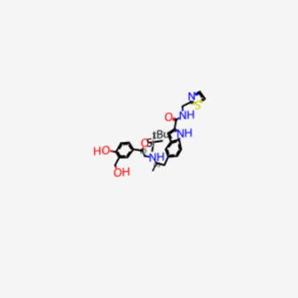 C[C@H](Cc1ccc2[nH]c(C(=O)NCc3nccs3)cc2c1)NC[C@H](O[Si](C)(C)C(C)(C)C)c1ccc(O)c(CO)c1